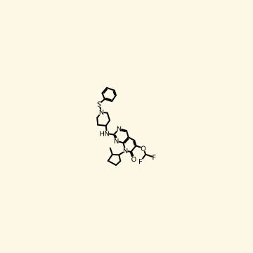 CC1CCCC1n1c(=O)c(OC(F)F)cc2cnc(NC3CCN(Sc4ccccc4)CC3)nc21